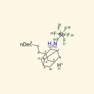 CCCCCCCCCCCCC12CC3CC(CC(C3)C1)C2.N.[F][Sb-]([F])([F])([F])([F])[F].[H+]